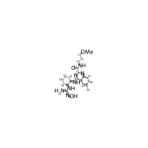 COCCCNC(=O)c1nc(N[C@H]2CCCC[C@H]2N/C(N)=N\O)c2cc(C)ccc2n1